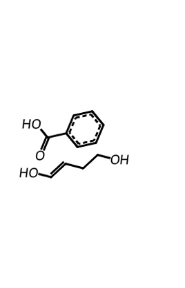 O=C(O)c1ccccc1.OC=CCCO